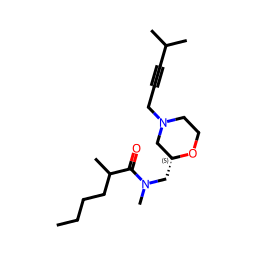 CCCCC(C)C(=O)N(C)C[C@@H]1CN(CC#CC(C)C)CCO1